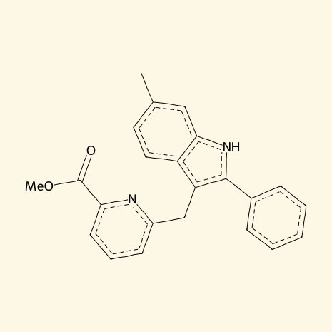 COC(=O)c1cccc(Cc2c(-c3ccccc3)[nH]c3cc(C)ccc23)n1